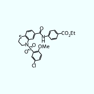 CCOC(=O)c1ccc(NC(=O)c2ccc3c(c2)N(S(=O)(=O)c2cc(Cl)ccc2OC)CCS3)cc1